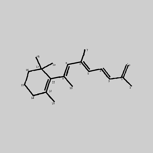 [CH]=C(C)C=CC=C(C)C=C(C)C1=C(C)CCCC1(C)C